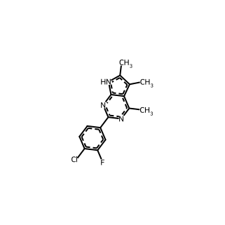 Cc1[nH]c2nc(-c3ccc(Cl)c(F)c3)nc(C)c2c1C